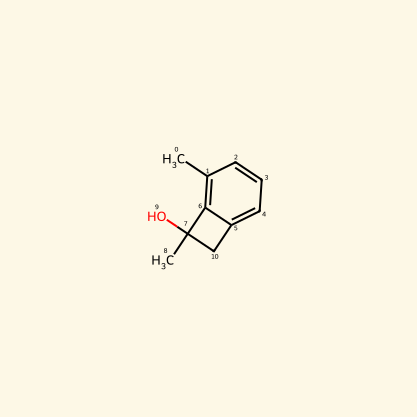 Cc1cccc2c1C(C)(O)C2